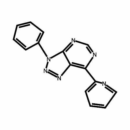 c1ccc(-n2nnc3c(-c4ccccn4)ncnc32)cc1